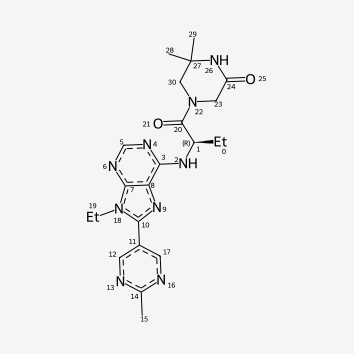 CC[C@@H](Nc1ncnc2c1nc(-c1cnc(C)nc1)n2CC)C(=O)N1CC(=O)NC(C)(C)C1